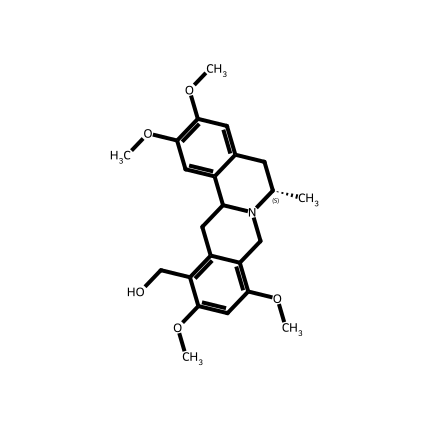 COc1cc2c(cc1OC)C1Cc3c(CO)c(OC)cc(OC)c3CN1[C@@H](C)C2